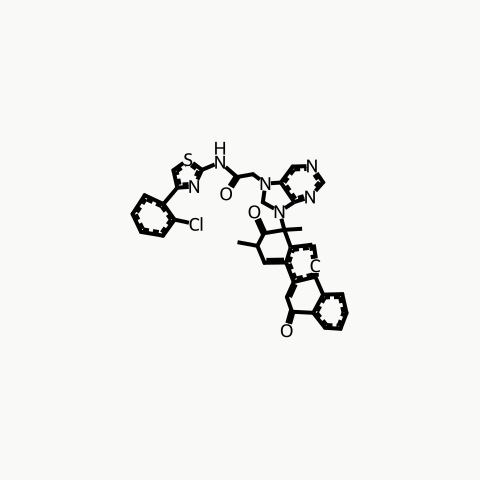 CC1C=c2c(ccc3c2=CC(=O)c2ccccc2-3)C(C)(N2CN(CC(=O)Nc3nc(-c4ccccc4Cl)cs3)c3cncnc32)C1=O